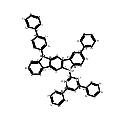 c1ccc(-c2ccc(-n3c4ccccc4c4cc5c(cc43)c3cc(-c4ccccc4)ccc3n5-c3nc(-c4ccccc4)cc(-c4ccccc4)n3)cc2)cc1